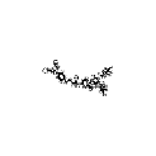 CC(C)(C)[Si](C)(C)OC[C@H]1O[C@@H](n2ccc(NC(=O)CCCc3ccc(N(CCCl)CCCl)cc3)nc2=O)C(F)(F)[C@@H]1O[Si](C)(C)C(C)(C)C